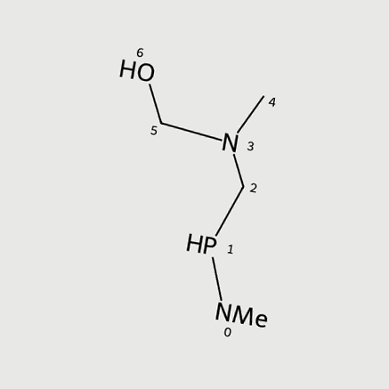 CNPCN(C)CO